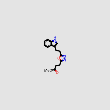 COC(=O)CCc1nnc(CCc2c[nH]c3ccccc23)o1